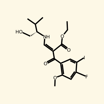 CCOC(=O)/C(=C\N[C@H](CO)C(C)C)C(=O)c1cc(I)c(F)cc1OC